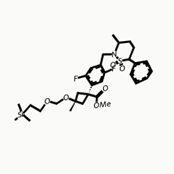 COC(=O)[C@]1(c2cc(F)c(CN3C(C)CCC(c4ccccc4)S3(=O)=O)cc2F)C[C@@](C)(OCOCC[Si](C)(C)C)C1